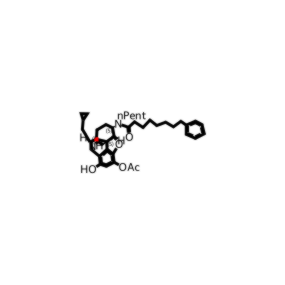 CCCCCN(C(=O)CCCCCCCc1ccccc1)[C@H]1CC[C@H]2[C@H]3Cc4c(O)cc(OC(C)=O)c5c4[C@@]2(CCN3CC2CC2)[C@H]1O5